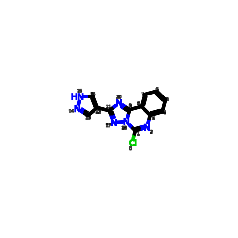 Clc1nc2ccccc2c2nc(-c3cn[nH]c3)nn12